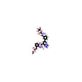 CCOC(=O)Cc1cccc(OC(=O)c2cc(-c3cccc(CNC(=O)OC(C)(C)C)c3)cn3ncnc23)c1N